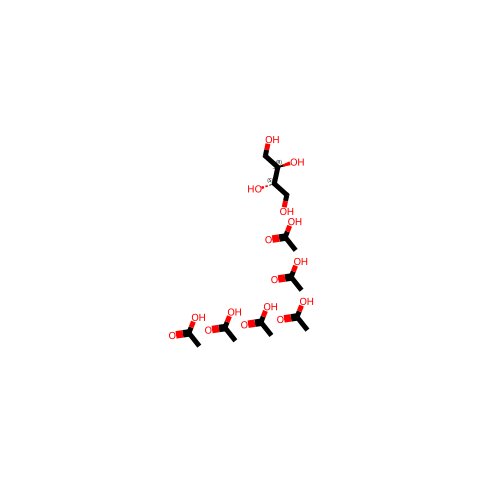 CC(=O)O.CC(=O)O.CC(=O)O.CC(=O)O.CC(=O)O.CC(=O)O.OC[C@@H](O)[C@@H](O)CO